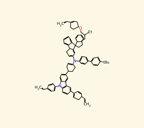 C=CC1=CCC(OCC(CC)CCCCC2(C3C=CC=CC3)C3=CC(N(C4=CCC(c5ccc6c(c5)c5cc(C7=CCC(C=C)C=C7)ccc5n6-c5ccc(C=C)cc5)CC4)c4ccc(-c5ccc(C(C)(C)C)cc5)cc4)=CCC3c3ccccc32)CC1